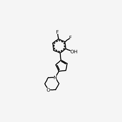 Oc1c(C2=CCC(N3CCOCC3)=C2)ccc(F)c1F